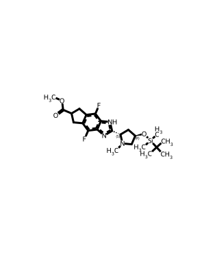 COC(=O)C1Cc2c(c(F)c3[nH]c([C@@H]4C[C@@H](O[Si](C)(C)C(C)(C)C)CN4C)nc3c2F)C1